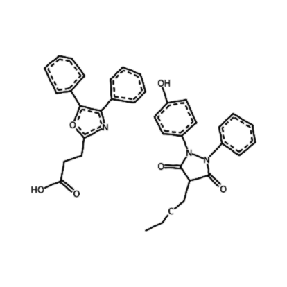 CCCCC1C(=O)N(c2ccccc2)N(c2ccc(O)cc2)C1=O.O=C(O)CCc1nc(-c2ccccc2)c(-c2ccccc2)o1